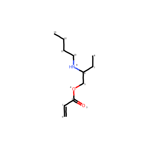 C=CC(=O)OCC(CC)NCCCC